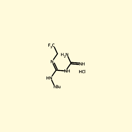 CCCCNC(=NCC(F)(F)F)NC(=N)N.Cl